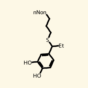 CCCCCCCCCCCCSC(CC)c1ccc(O)c(O)c1